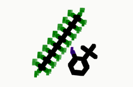 CC(C)(C)c1ccccc1I.FC(F)(F)C(F)(F)C(F)(F)C(F)(F)C(F)(F)C(F)(F)C(F)(F)C(F)(F)F